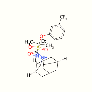 CCS(=O)(=O)N[C@@]12CC3C[C@H](C1)[C@H](NC(=O)C(C)(C)Oc1cccc(C(F)(F)F)c1)[C@@H](C3)C2